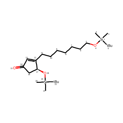 CC(C)(C)[Si](C)(C)OCCCCCCCC1=CC(=O)C[C@@H]1O[Si](C)(C)C(C)(C)C